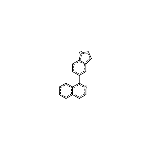 [c]1cccc2c(-c3ccc4occc4c3)nccc12